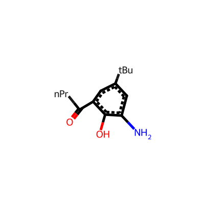 CCCC(=O)c1cc(C(C)(C)C)cc(N)c1O